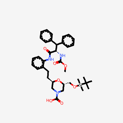 COC(=O)N[C@H](C(=O)Nc1ccccc1CC[C@@H]1CN(C(=O)O)C[C@@H](CO[Si](C)(C)C(C)(C)C)O1)C(c1ccccc1)c1ccccc1